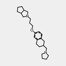 c1cc2c(cc1OCCCN1CC3CCCC3C1)CCC(CN1CCCC1)C2